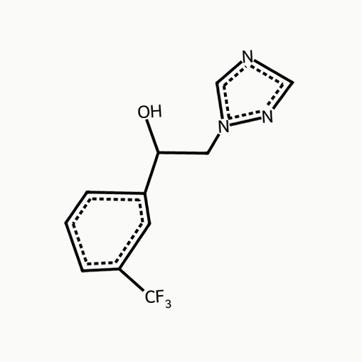 OC(Cn1cncn1)c1cccc(C(F)(F)F)c1